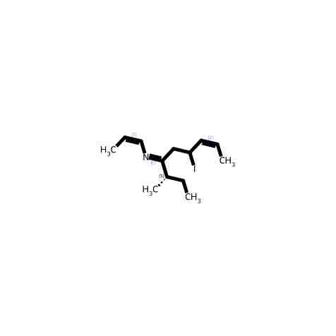 C/C=C\N=C(/CC(I)/C=C\C)[C@@H](C)CC